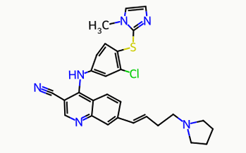 Cn1ccnc1Sc1ccc(Nc2c(C#N)cnc3cc(/C=C/CCN4CCCC4)ccc23)cc1Cl